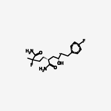 CC(F)(CC[C@H](C[C@@H](O)[CH]Cc1ccc(F)cc1)C(N)=O)C(N)=O